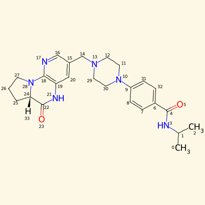 CC(C)NC(=O)c1ccc(N2CCN(Cc3cnc4c(c3)NC(=O)[C@@H]3CCCN43)CC2)cc1